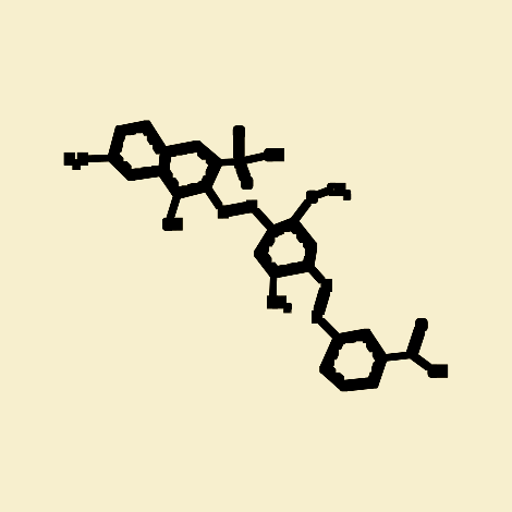 COc1cc(/N=N/c2cccc(C(=O)O)c2)c(N)cc1/N=N/c1c(S(=O)(=O)O)cc2ccc(N)cc2c1O